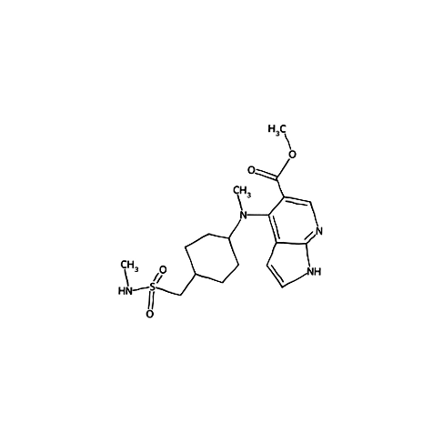 CNS(=O)(=O)CC1CCC(N(C)c2c(C(=O)OC)cnc3[nH]ccc23)CC1